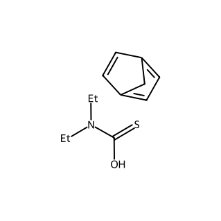 C1=CC2=CC=C1C2.CCN(CC)C(O)=S